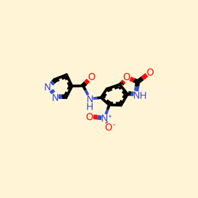 O=C(Nc1cc2oc(=O)[nH]c2cc1[N+](=O)[O-])c1ccnnc1